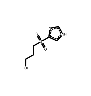 O=S(=O)(CCCO)c1c[nH]cn1